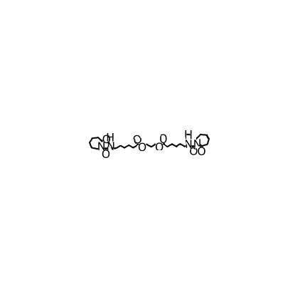 O=C(CCCCCNC(=O)N1CCCCCC1=O)OCCCOC(=O)CCCCCNC(=O)N1CCCCCC1=O